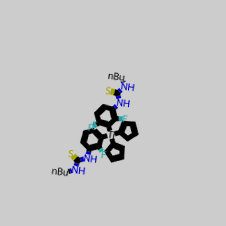 CCCCNC(=S)Nc1ccc(F)[c]([Ti]([C]2=CC=CC2)([C]2=CC=CC2)[c]2c(F)ccc(NC(=S)NCCCC)c2F)c1F